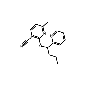 CCCC(Oc1nc(C)ccc1C#N)c1ccccn1